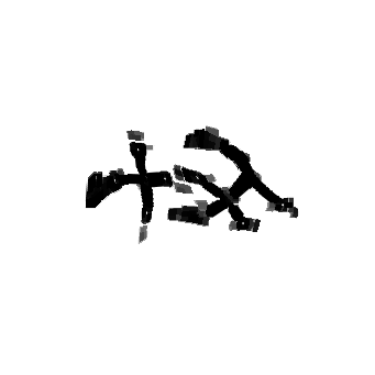 CCCCCCCCCCC(C)[N+](O)(O)CCCC.COS(=O)(=O)[O-]